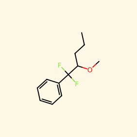 CCCC(OC)C(F)(F)c1ccccc1